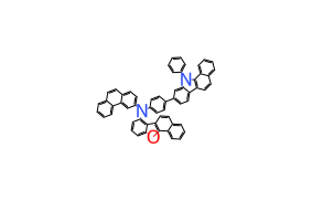 c1ccc(-n2c3cc(-c4ccc(N(c5ccc6ccc7ccccc7c6c5)c5cccc6oc7c8ccccc8ccc7c56)cc4)ccc3c3ccc4ccccc4c32)cc1